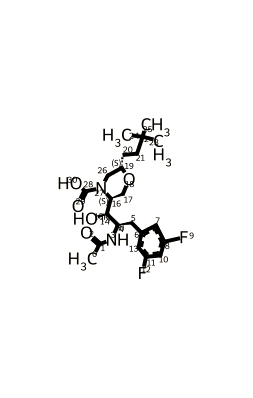 CC(=O)N[C@H](Cc1cc(F)cc(F)c1)[C@@H](O)[C@@H]1CO[C@@H](CCC(C)(C)C)CN1C(=O)O